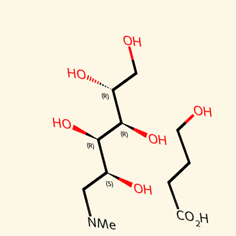 CNC[C@H](O)[C@@H](O)[C@H](O)[C@H](O)CO.O=C(O)CCCO